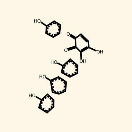 O=C1C=CC(O)=C(O)C1=O.Oc1ccccc1.Oc1ccccc1.Oc1ccccc1.Oc1ccccc1